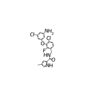 Cc1c[nH]c(C(=O)NCc2ccc(Cl)c(Oc3cc(N)cc(Cl)c3)c2F)c1